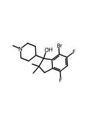 CN1CCC(C2(O)c3c(Br)c(F)cc(F)c3CC2(C)C)CC1